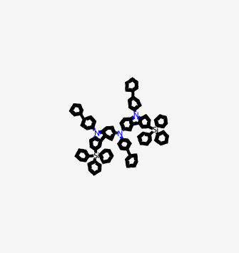 c1ccc(-c2ccc(N(c3ccc4c(c3)c3cc([Si](c5ccccc5)(c5ccccc5)c5ccccc5)ccc3n4-c3ccc(-c4ccccc4)cc3)c3ccc4c(c3)c3cc([Si](c5ccccc5)(c5ccccc5)c5ccccc5)ccc3n4-c3ccc(-c4ccccc4)cc3)cc2)cc1